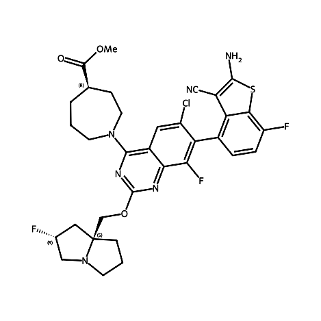 COC(=O)[C@@H]1CCCN(c2nc(OC[C@@]34CCCN3C[C@H](F)C4)nc3c(F)c(-c4ccc(F)c5sc(N)c(C#N)c45)c(Cl)cc23)CC1